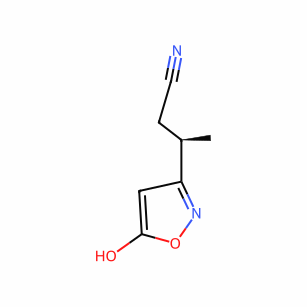 C[C@H](CC#N)c1cc(O)on1